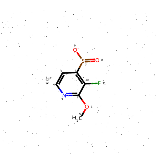 COc1nccc(S(=O)[O-])c1F.[Li+]